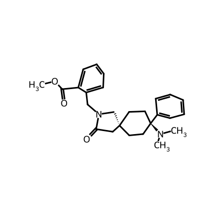 COC(=O)c1ccccc1CN1C[C@]2(CC[C@](c3ccccc3)(N(C)C)CC2)CC1=O